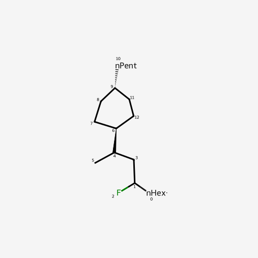 CCCCC[CH]C(F)CC(C)[C@H]1CC[C@H](CCCCC)CC1